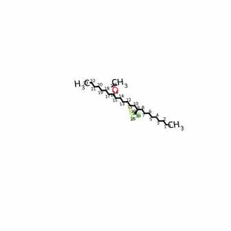 CCCCCCCCCC(CCCCCCC(CCCCCCC)OCC)C(F)(F)F